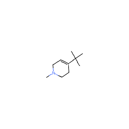 CN1CC=C(C(C)(C)C)CC1